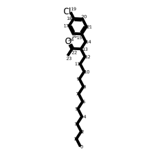 CCCCCCCCCCCCCC(Cc1ccc(Cl)cc1)C(C)=O